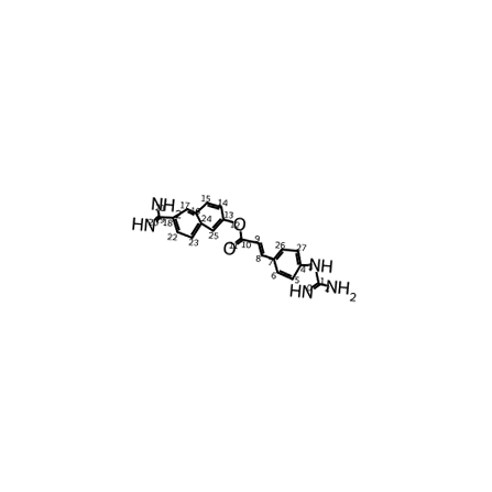 N=C(N)Nc1ccc(C=CC(=O)Oc2ccc3cc(C(=N)N)ccc3c2)cc1